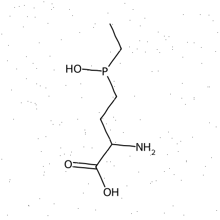 CCP(O)CCC(N)C(=O)O